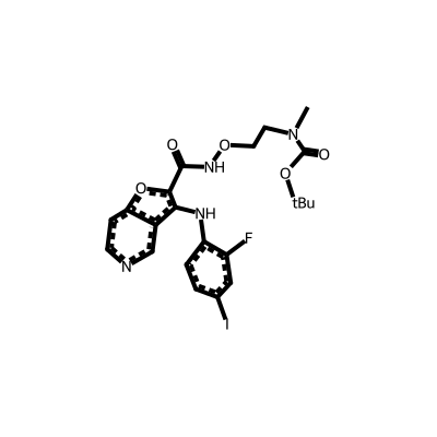 CN(CCONC(=O)c1oc2ccncc2c1Nc1ccc(I)cc1F)C(=O)OC(C)(C)C